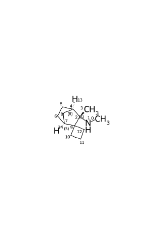 CN[C@@]1(C)[C@@H]2CC[C@@H](C2)C12CCC2